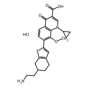 COc1c(-c2cc3c(s2)CC(CCN)CC3)ccc2c(=O)c(C(=O)O)cn(C3CC3)c12.Cl